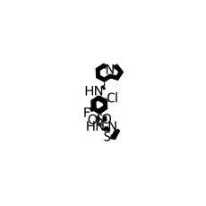 O=S(=O)(Nc1nccs1)c1cc(Cl)c(NC[C@@H]2CCCN3CCCC23)cc1F